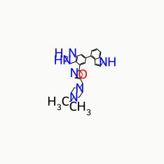 CC(C)N1CCN(Cc2cnc(-c3cc(-c4cccc5[nH]ccc45)cc(N)c3C=N)o2)CC1